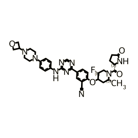 C[C@H]1CC(Oc2ccc(-c3ncnc(Nc4ccc(N5CCN(C6COC6)CC5)cc4)n3)cc2C#N)[C@H](F)CN1C(=O)[C@@H]1CCC(=O)N1